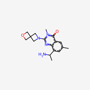 Cc1cc(C(C)N)c2nc(N3CC4(COC4)C3)n(C)c(=O)c2c1